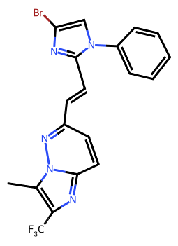 Cc1c(C(F)(F)F)nc2ccc(/C=C/c3nc(Br)cn3-c3ccccc3)nn12